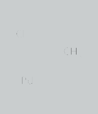 C[CH](Cl)[Pd]